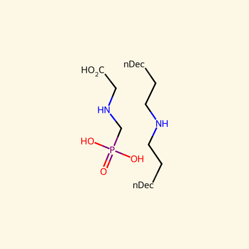 CCCCCCCCCCCCNCCCCCCCCCCCC.O=C(O)CNCP(=O)(O)O